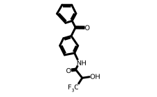 O=C(c1ccccc1)c1cccc(NC(=O)C(O)C(F)(F)F)c1